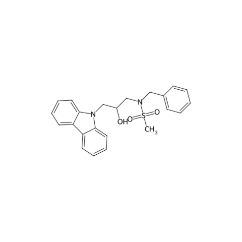 CS(=O)(=O)N(Cc1ccccc1)CC(O)Cn1c2ccccc2c2ccccc21